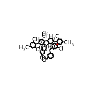 CCCC1C=C(C(C)(C)C)C=[C]1[Zr+2](=[C](c1cccc(Cl)c1)c1cccc(Cl)c1)[CH]1c2cc(-c3c(C)cc(C)cc3C)ccc2-c2ccc(-c3c(C)cc(C)cc3C)cc21.[Cl-].[Cl-]